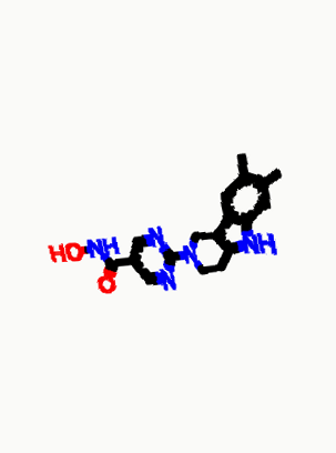 Cc1cc2[nH]c3c(c2cc1C)CN(c1ncc(C(=O)NO)cn1)CC3